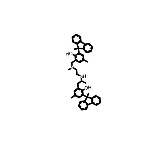 Cc1cc(CC(C)NCCN(C)Cc2cc(C)cc(C3(C)c4ccccc4-c4ccccc43)c2O)c(O)c(C2(C)c3ccccc3-c3ccccc32)c1